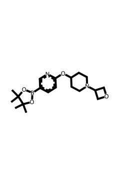 CC1(C)OB(c2ccc(OC3CCN(C4COC4)CC3)nc2)OC1(C)C